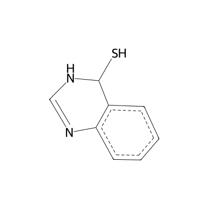 SC1NC=Nc2ccccc21